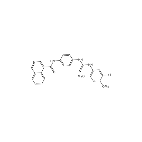 COc1cc(OC)c(NC(=S)Nc2ccc(NC(=O)c3cncc4ccccc34)cc2)cc1Cl